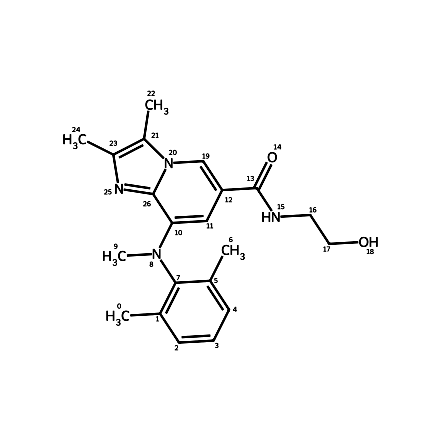 Cc1cccc(C)c1N(C)c1cc(C(=O)NCCO)cn2c(C)c(C)nc12